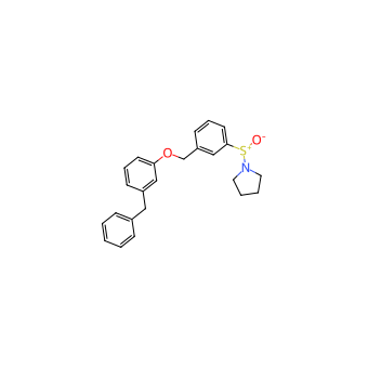 [O-][S+](c1cccc(COc2cccc(Cc3ccccc3)c2)c1)N1CCCC1